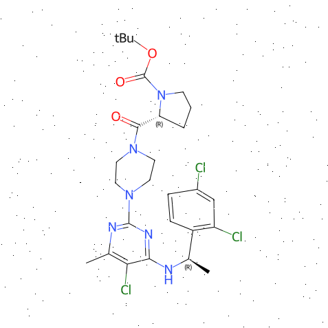 Cc1nc(N2CCN(C(=O)[C@H]3CCCN3C(=O)OC(C)(C)C)CC2)nc(N[C@H](C)c2ccc(Cl)cc2Cl)c1Cl